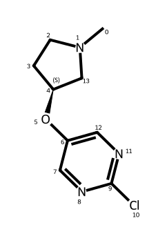 CN1CC[C@H](Oc2cnc(Cl)nc2)C1